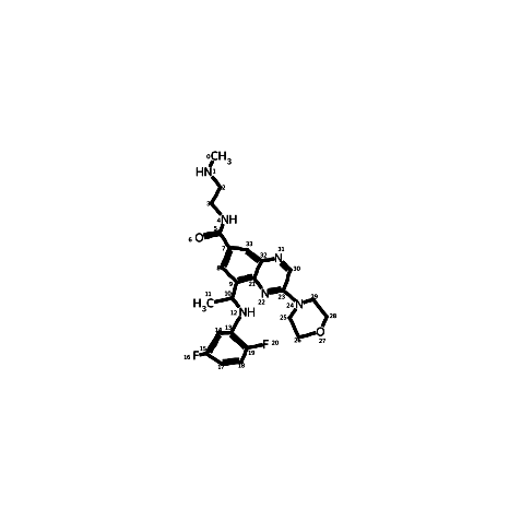 CNCCNC(=O)c1cc(C(C)Nc2cc(F)ccc2F)c2nc(N3CCOCC3)cnc2c1